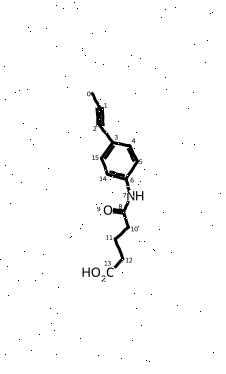 CC#Cc1ccc(NC(=O)CCCC(=O)O)cc1